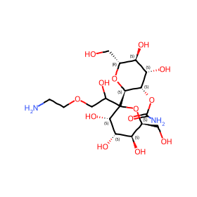 NCCOCC(O)C1([C@H]2O[C@H](CO)[C@@H](O)[C@H](O)[C@@H]2OC(N)=O)O[C@@H](CO)[C@@H](O)[C@H](O)[C@@H]1O